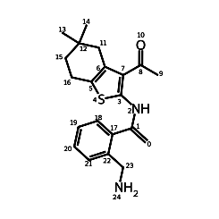 C=C(Nc1sc2c(c1C(C)=O)CC(C)(C)CC2)c1ccccc1CN